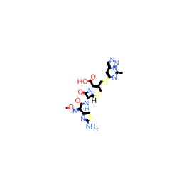 CO/N=C(\C(=O)N[C@@H]1C(=O)N2C(C(=O)O)=C(CSc3cc4cnnn4c(C)n3)CS[C@H]12)c1csc(N)n1